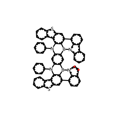 c1ccc(N2c3cc4c(cc3B3c5c(cc6sc7ccccc7c6c52)-c2cccc5c6ccccc6n3c25)B2c3c(cc5sc6ccccc6c5c3N4c3ccccc3)-c3cccc4c5ccccc5n2c34)cc1